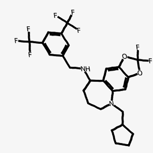 FC1(F)Oc2cc3c(cc2O1)N(CC1CCCC1)CCCC3NCc1cc(C(F)(F)F)cc(C(F)(F)F)c1